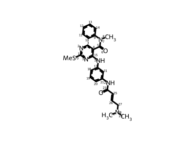 CSc1ncc(C(=O)N(C)c2ccccc2)c(Nc2cccc(NC(=O)/C=C/CN(C)C)c2)n1